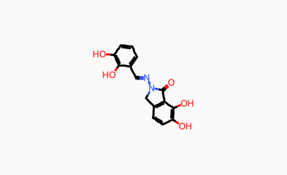 O=C1c2c(ccc(O)c2O)CN1N=Cc1cccc(O)c1O